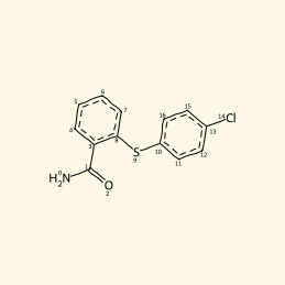 NC(=O)c1ccccc1Sc1ccc(Cl)cc1